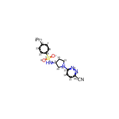 CC(C)c1ccc(S(=O)(=O)N[C@H]2CCN(c3ccc(C#N)nn3)C2)cc1